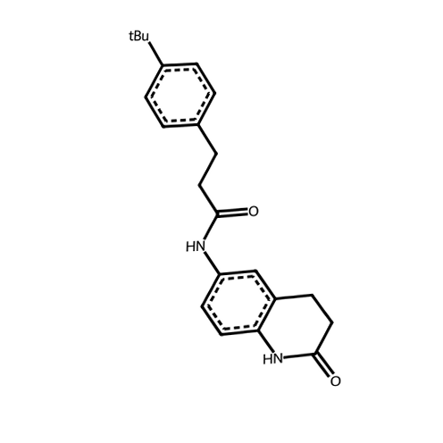 CC(C)(C)c1ccc(CCC(=O)Nc2ccc3c(c2)CCC(=O)N3)cc1